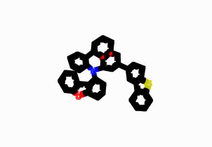 c1ccc(-c2ccccc2N(c2cccc(-c3ccc4sc5ccccc5c4c3)c2)c2cccc3oc4ccccc4c23)cc1